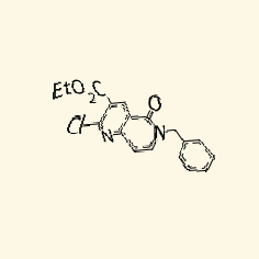 CCOC(=O)c1cc2c(=O)n(Cc3ccccc3)ccc2nc1Cl